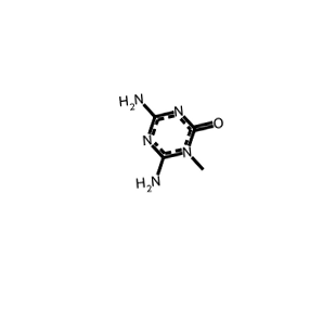 Cn1c(N)nc(N)nc1=O